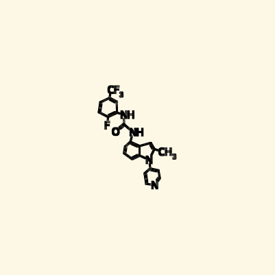 Cc1cc2c(NC(=O)Nc3cc(C(F)(F)F)ccc3F)cccc2n1-c1ccncc1